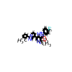 Cc1ccccc1-c1ncc2c(-c3cnc(C)c(C(=O)Nc4ccc(F)cc4)c3)cccn12